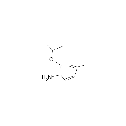 Cc1ccc(N)c(OC(C)C)c1